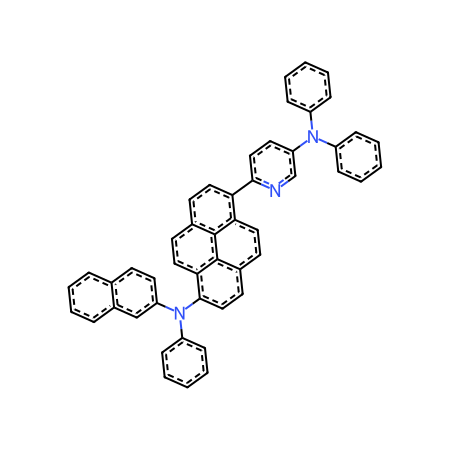 c1ccc(N(c2ccccc2)c2ccc(-c3ccc4ccc5c(N(c6ccccc6)c6ccc7ccccc7c6)ccc6ccc3c4c65)nc2)cc1